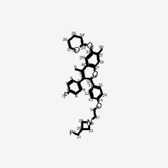 CC1=C(c2ccc(F)cc2)C(c2ccc(OCCN3CC(CF)C3)cc2)Oc2cc(C)c(OC3CCCCO3)cc21